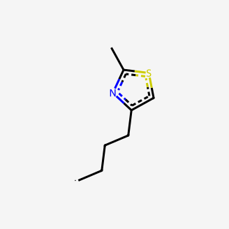 [CH2]CCCc1csc(C)n1